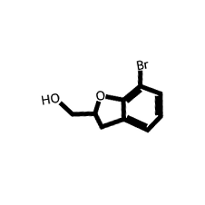 OCC1Cc2cccc(Br)c2O1